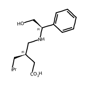 CC(C)C[C@@H](CN[C@@H](CO)c1ccccc1)CC(=O)O